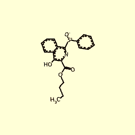 CCCCOC(=O)c1nc([S+]([O-])c2ccccc2)c2ccccc2c1O